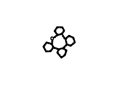 c1ccc2c(c1)oc1ccccc1c1ccccc1c1ccccc21